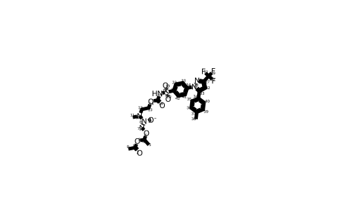 CC(=O)OC(C)ON=[N+]([O-])N(C)CCOC(=O)NS(=O)(=O)c1ccc(-n2nc(C(F)(F)F)cc2-c2ccc(C)cc2)cc1